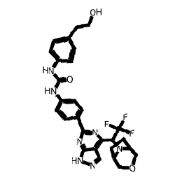 O=C(Nc1ccc(CCO)cc1)Nc1ccc(-c2nc(C(N3C4CCC3COC4)C(F)(F)F)c3cn[nH]c3n2)cc1